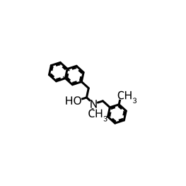 Cc1ccccc1CN(C)C(O)Cc1ccc2ccccc2c1